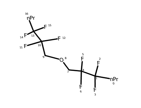 CCCC(F)(F)C(F)(F)COCC(F)(F)C(F)(F)CCC